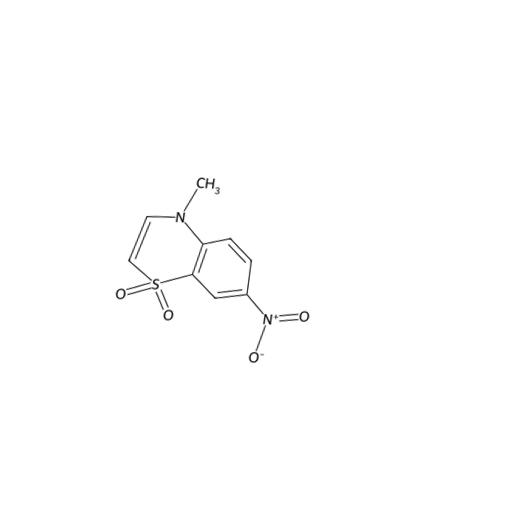 CN1C=CS(=O)(=O)c2cc([N+](=O)[O-])ccc21